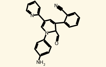 N#Cc1ccccc1C1=CC(c2ccccn2)=CN(c2ccc(N)cc2)C1C=O